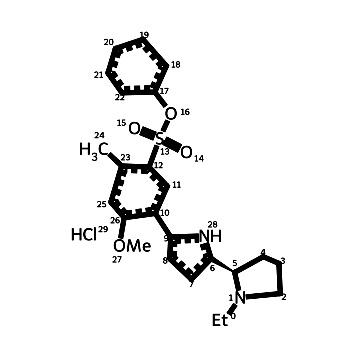 CCN1CCC[C@@H]1c1ccc(-c2cc(S(=O)(=O)Oc3ccccc3)c(C)cc2OC)[nH]1.Cl